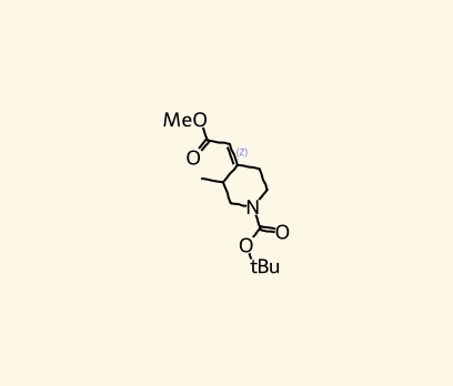 COC(=O)/C=C1/CCN(C(=O)OC(C)(C)C)CC1C